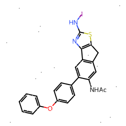 CC(=O)Nc1cc2c(cc1-c1ccc(Oc3ccccc3)cc1)-c1nc(NI)sc1C2